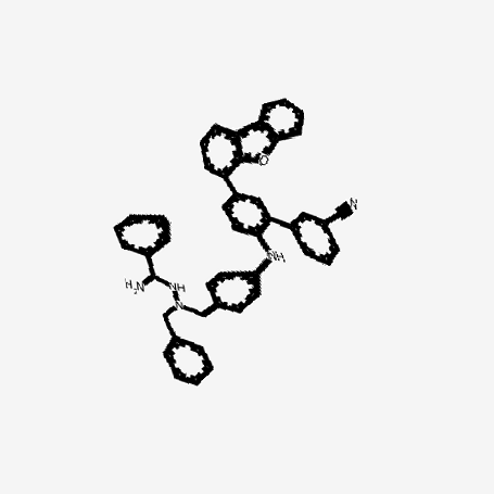 N#Cc1cccc(-c2cc(-c3cccc4c3oc3ccccc34)ccc2Nc2ccc(CN(Cc3ccccc3)NC(N)c3ccccc3)cc2)c1